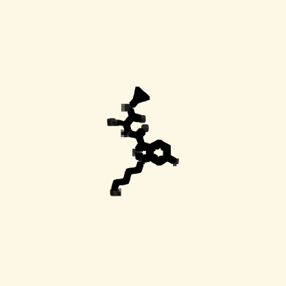 CC(C)(C)[C@H](NC(=O)c1nn(CCCCC#N)c2cc(F)ccc12)C(=O)NC1CC1